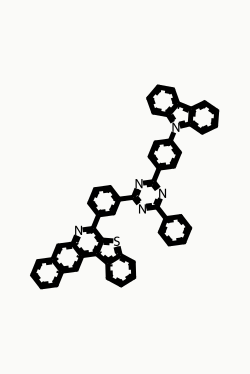 c1ccc(-c2nc(-c3ccc(-n4c5ccccc5c5ccccc54)cc3)nc(-c3cccc(-c4nc5cc6ccccc6cc5c5c4sc4ccccc45)c3)n2)cc1